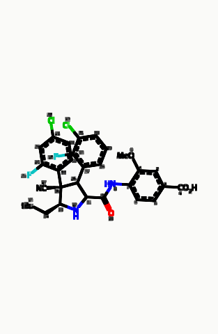 COc1cc(C(=O)O)ccc1NC(=O)C1N[C@@H](CC(C)(C)C)[C@](C#N)(c2ccc(Cl)cc2F)C1c1cccc(Cl)c1F